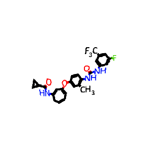 Cc1cc(OC2=CC=CCC(NC(=O)C3CC3)=C2)ccc1NC(=O)Nc1cc(F)cc(C(F)(F)F)c1